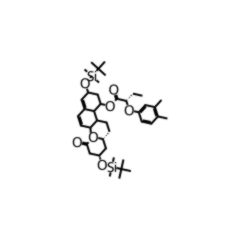 CC[C@H](Oc1ccc(C)c(C)c1)C(=O)OC1CC(O[Si](C)(C)C(C)(C)C)C=C2C=CC(C)C(CC[C@@H]3C[C@@H](O[Si](C)(C)C(C)(C)C)CC(=O)O3)C21